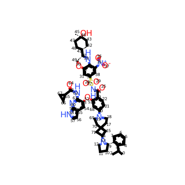 CC(C)c1ccccc1[C@@H]1CCCN1C1CC2(CCN(c3ccc(C(=O)NS(=O)(=O)c4cc5c(c([N+](=O)[O-])c4)N[C@@H]([C@H]4CC[C@](C)(O)CC4)CO5)c(Oc4cc5cc[nH]c5nc4NC(=O)C4CC4)c3)CC2)C1